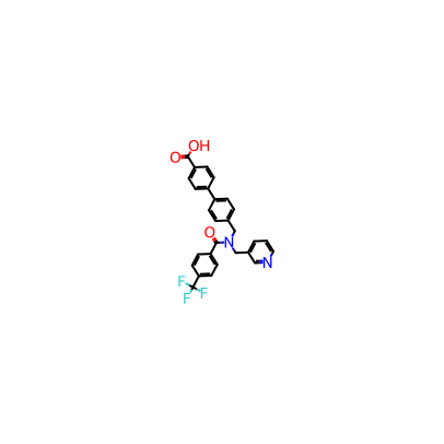 O=C(O)c1ccc(-c2ccc(CN(Cc3cccnc3)C(=O)c3ccc(C(F)(F)F)cc3)cc2)cc1